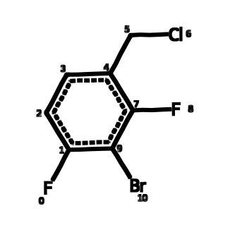 Fc1ccc(CCl)c(F)c1Br